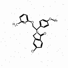 Cc1cccc(OCC(c2ccc(OC(C)C)cc2)N2Cc3cc(Cl)ccc3C2=O)n1